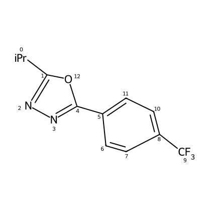 CC(C)c1nnc(-c2ccc(C(F)(F)F)cc2)o1